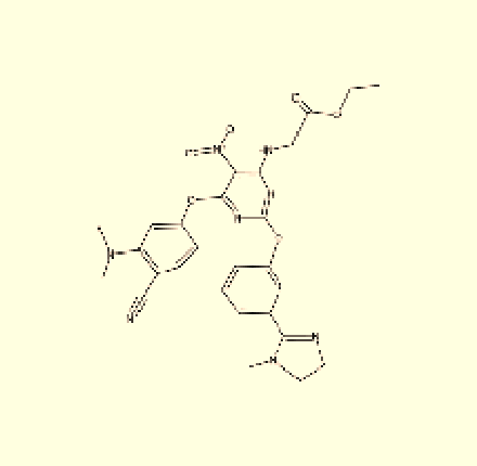 CCOC(=O)CNc1nc(Oc2cccc(C3=NCCN3C)c2)nc(Oc2ccc(C#N)c(N(C)C)c2)c1[N+](=O)[O-]